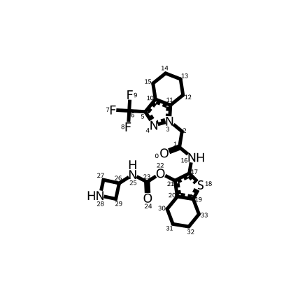 O=C(Cn1nc(C(F)(F)F)c2c1CCCC2)Nc1sc2c(c1OC(=O)NC1CNC1)CCCC2